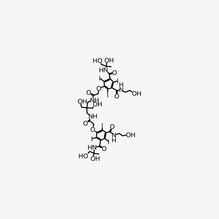 CC(O)(CO)NC(=O)c1c(I)c(OCC(=O)NCC(CO)(CO)CNC(=O)COc2c(I)c(C(=O)NCCO)c(I)c(C(=O)NC(C)(O)CO)c2I)c(I)c(C(=O)NCCO)c1I